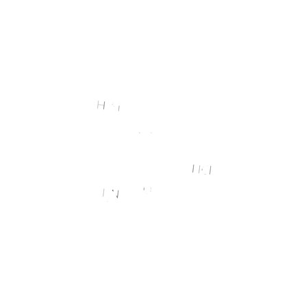 CC(ON)C(C)(C)[SiH3].Cl